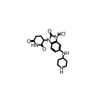 Cl.Cn1c(=O)n(C2CCC(=O)NC2=O)c2ccc(NC3CCNCC3)cc21